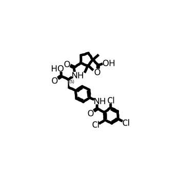 CC1(C(=O)O)CCC(C(=O)N[C@@H](Cc2ccc(NC(=O)c3c(Cl)cc(Cl)cc3Cl)cc2)C(=O)O)C1(C)C